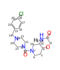 O=C1COC2CCN(C(=O)N3CCN(Cc4ccc(Cl)cc4)CC3)C[C@H]2N1